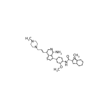 COc1cc(-c2csc3c(C=CCN4CCN(C)CC4)cnc(N)c23)ccc1NC(=O)c1cc2ccccc2n1C